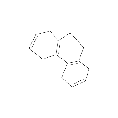 C1=CCC2=C(C1)CCC1=C2CC=CC1